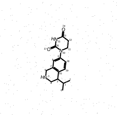 CC(C)C1CNCc2cc(N3CCC(=O)NC3=O)ccc21